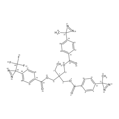 CCC(COC(=O)c1ccc(C2(C)N=N2)cc1)(COC(=O)c1ccc(C2(C)N=N2)cc1)COC(=O)c1ccc(C2(C(F)(F)F)N=N2)cc1